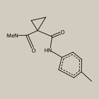 CNC(=O)C1(C(=O)Nc2ccc(C)cc2)CC1